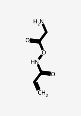 C=CC(=O)NOC(=O)CN